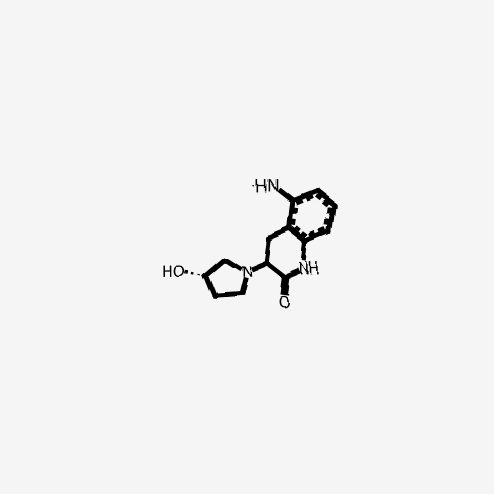 [NH]c1cccc2c1CC(N1CC[C@H](O)C1)C(=O)N2